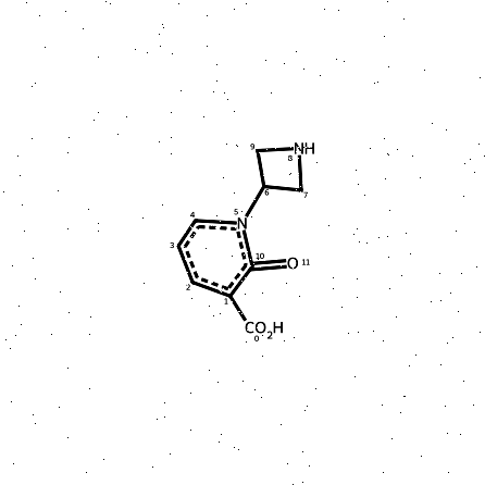 O=C(O)c1cccn(C2CNC2)c1=O